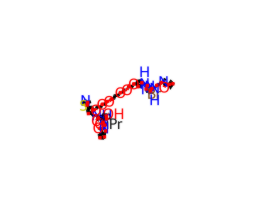 Cc1ncsc1-c1ccc(CNC(=O)[C@@H]2C[C@@H](O)CN2C(=O)C(C(C)C)N2Cc3ccccc3C2=O)c(OCCOCCOCCCCOCCOCCOc2ccc(Nc3ncc(Br)c(NCCCN(C)C(=O)C4CCC4)n3)cc2)c1